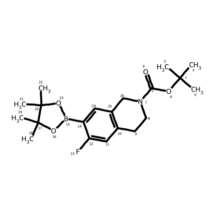 CC(C)(C)OC(=O)N1CCc2cc(F)c(B3OC(C)(C)C(C)(C)O3)cc2C1